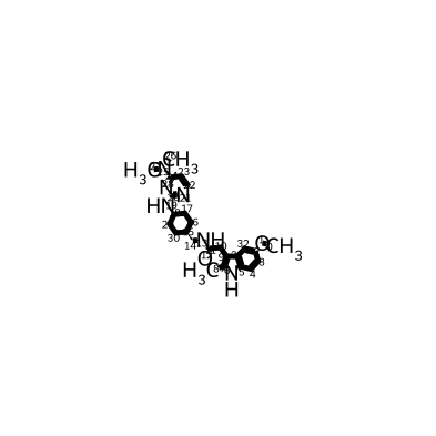 COc1ccc2[nH]c(C)c(CC(=O)NC[C@H]3CC[C@@H](Nc4nccc(N(C)C)n4)CC3)c2c1